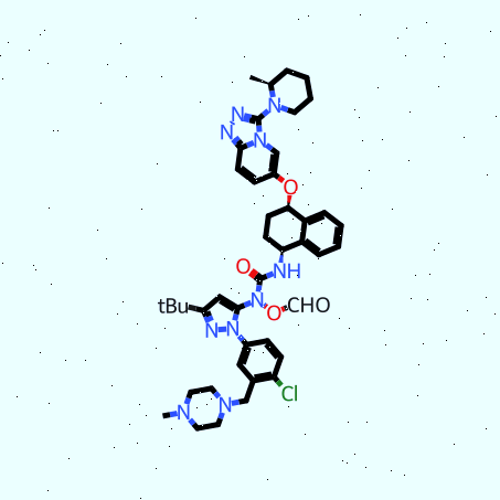 C[C@H]1CCCCN1c1nnc2ccc(O[C@@H]3CC[C@H](NC(=O)N(OC=O)c4cc(C(C)(C)C)nn4-c4ccc(Cl)c(CN5CCN(C)CC5)c4)c4ccccc43)cn12